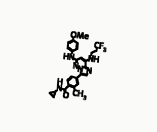 COc1ccc(Nc2cc(NCCC(F)(F)F)c3ncc(-c4ccc(C(=O)NC5CC5)c(C)c4)n3n2)cc1